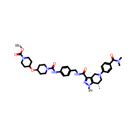 CC(C)n1nc(C(=O)NCc2ccc(NC(=O)N3CCC(OC4CCN(C(=O)OC(C)(C)C)CC4)CC3)cc2)c2c1[C@@H](C)CN(c1ccc(C(=O)N(C)C)cc1)C2